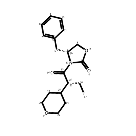 O=C1OC[C@@H](Cc2ccccc2)N1C(=O)[C@H](CI)C1CCOCC1